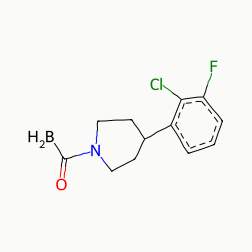 BC(=O)N1CCC(c2cccc(F)c2Cl)CC1